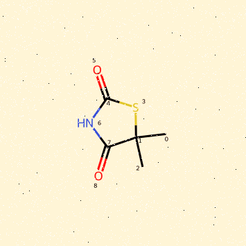 CC1(C)SC(=O)NC1=O